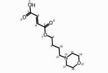 O=C(O)/C=C/C(=O)OCCCCN1CCOCC1